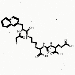 O=C(O)CCC(NC(=O)NC(CCCCNC(O)C(Cc1ccc2ccccc2c1)NC(=O)CF)C(=O)O)C(=O)O